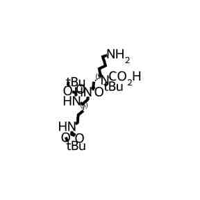 CC(C)(C)OC(=O)NCCC[C@@H](CNC(=O)C[C@H](CCCN)N(C(=O)O)C(C)(C)C)NC(=O)OC(C)(C)C